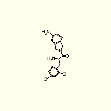 Nc1ccc2c(c1)CN(C(=O)C(N)Cc1ccc(Cl)cc1Cl)C2